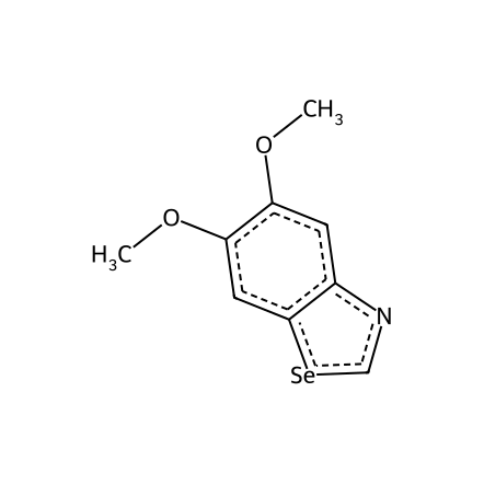 COc1cc2nc[se]c2cc1OC